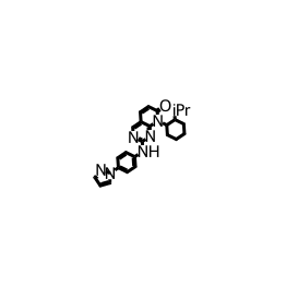 CC(C)C1CCCCC1n1c(=O)ccc2cnc(Nc3ccc(-n4cccn4)cc3)nc21